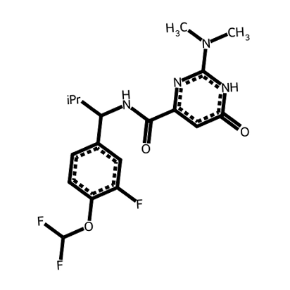 CC(C)C(NC(=O)c1cc(=O)[nH]c(N(C)C)n1)c1ccc(OC(F)F)c(F)c1